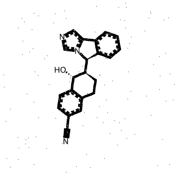 N#Cc1ccc2c(c1)CC[C@H]([C@@H]1c3ccccc3-c3cncn31)[C@H]2O